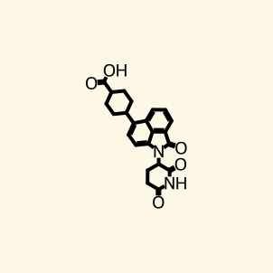 O=C1CCC(N2C(=O)c3cccc4c(C5CCC(C(=O)O)CC5)ccc2c34)C(=O)N1